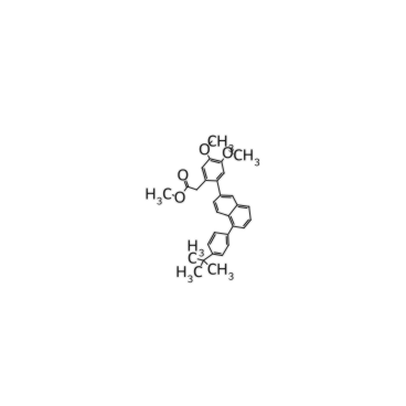 COC(=O)Cc1cc(OC)c(OC)cc1-c1ccc2c(-c3ccc(C(C)(C)C)cc3)cccc2c1